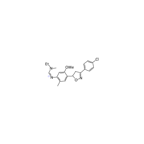 CCN(C)/C=N\c1cc(OC)c(C2CC(c3ccc(Cl)cc3)=NO2)cc1C